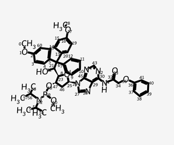 COc1ccc(C(c2ccccc2)(c2ccc(OC)cc2)C(O)[C@H]2O[C@@H](n3cnc4c(NC(=O)COc5ccccc5)ncnc43)C[C@@H]2OP(OC)N(C(C)C)C(C)C)cc1